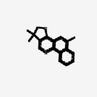 Cc1cc2c3c(cnc2c2ccccc12)C(C)(C)CO3